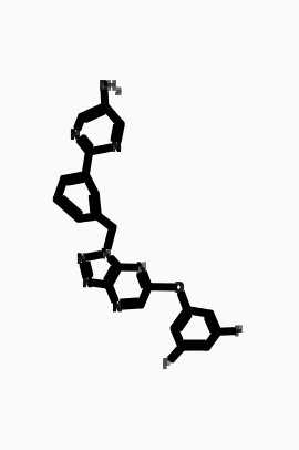 Bc1cnc(-c2cccc(Cn3nnc4ncc(Oc5cc(F)cc(F)c5)nc43)c2)nc1